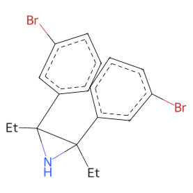 CCC1(c2cccc(Br)c2)NC1(CC)c1cccc(Br)c1